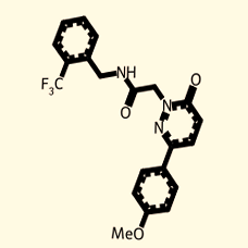 COc1ccc(-c2ccc(=O)n(CC(=O)NCc3ccccc3C(F)(F)F)n2)cc1